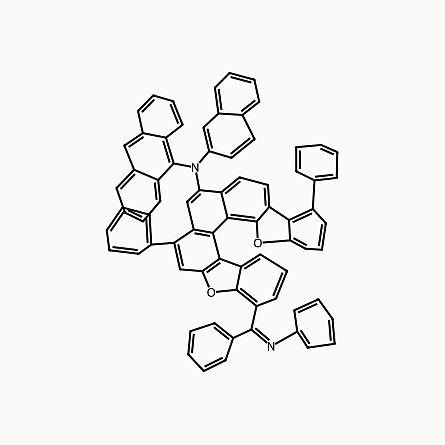 c1ccc(/N=C(/c2ccccc2)c2cccc3c2oc2cc(-c4ccccc4)c4cc(N(c5ccc6ccccc6c5)c5c6ccccc6cc6ccccc56)c5ccc6c(oc7cccc(-c8ccccc8)c76)c5c4c23)cc1